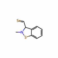 CN1Sc2ccccc2C1C=S